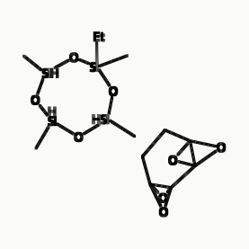 C1CC23OC2(O3)C23OC12O3.CC[Si]1(C)O[SiH](C)O[SiH](C)O[SiH](C)O1